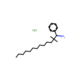 CCCCCCCCCCCC(C)(C)C(N)c1ccccc1.Cl